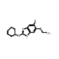 CCOc1cc2[nH]c(OC3CCCCC3)nc2cc1Cl